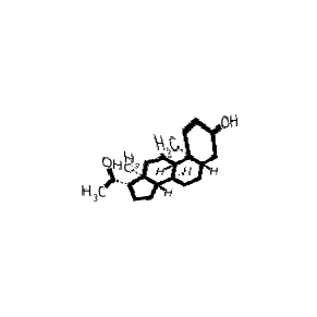 CC(O)[C@H]1CC[C@H]2[C@@H]3CC[C@H]4CC(O)CC[C@]4(C)[C@H]3CC[C@]12C